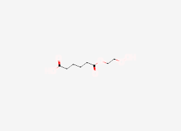 O=C(O)CCCCC(=O)OCCOO